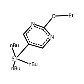 [CH2+]CC[CH2][Sn]([CH2]CCC)([CH2]CCC)[c]1cnc(OCC)nc1